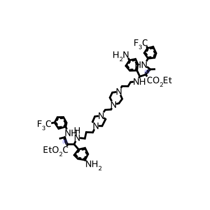 CCOC(=O)/C(=C(\C)Nc1cccc(C(F)(F)F)c1)C(NCCCN1CCN(CCN2CCN(CCCNC(/C(C(=O)OCC)=C(/C)Nc3cccc(C(F)(F)F)c3)c3ccc(N)cc3)CC2)CC1)c1ccc(N)cc1